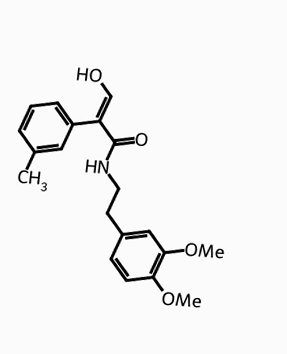 COc1ccc(CCNC(=O)C(=CO)c2cccc(C)c2)cc1OC